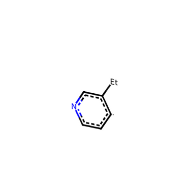 CCc1[c]ccnc1